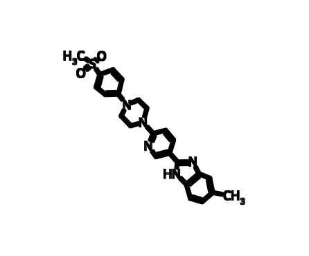 Cc1ccc2[nH]c(-c3ccc(N4CCN(c5ccc(S(C)(=O)=O)cc5)CC4)nc3)nc2c1